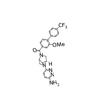 COc1cc(C(=O)N2C[C@@H]3CC2CN3c2ccc(N)nn2)ccc1-c1ccc(C(F)(F)F)cc1